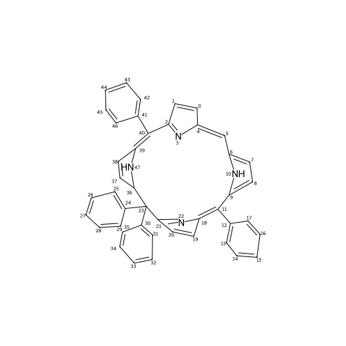 C1=CC2=NC1=Cc1ccc([nH]1)C(c1ccccc1)=C1C=CC(=N1)C(c1ccccc1)(c1ccccc1)C1C=CC(=C2c2ccccc2)N1